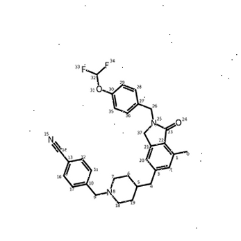 Cc1cc(CC2CCN(Cc3ccc(C#N)cc3)CC2)cc2c1C(=O)N(Cc1ccc(OC(F)F)cc1)C2